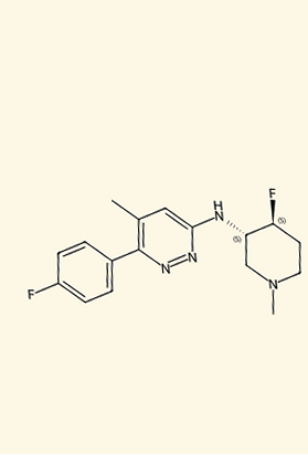 Cc1cc(N[C@H]2CN(C)CC[C@@H]2F)nnc1-c1ccc(F)cc1